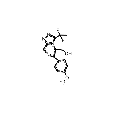 CC(F)(F)c1nnc2cnc(-c3ccc(OC(F)(F)F)cc3)c(CO)n12